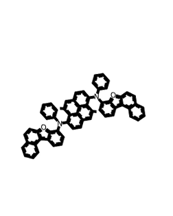 Cc1cc2ccc(N(c3ccccc3)c3cccc4c3oc3ccc5ccccc5c34)c3c(C)cc4ccc(N(c5ccccc5)c5cccc6c5oc5ccc7ccccc7c56)c1c4c23